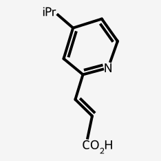 CC(C)c1ccnc(/C=C/C(=O)O)c1